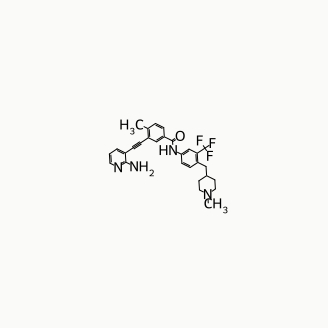 Cc1ccc(C(=O)Nc2ccc(CC3CCN(C)CC3)c(C(F)(F)F)c2)cc1C#Cc1cccnc1N